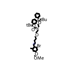 COCOc1cc(C)c(/C=C/CCCOCCN(CCO[Si](c2ccccc2)(c2ccccc2)C(C)(C)C)C(=O)OC(C)(C)C)c(Br)c1